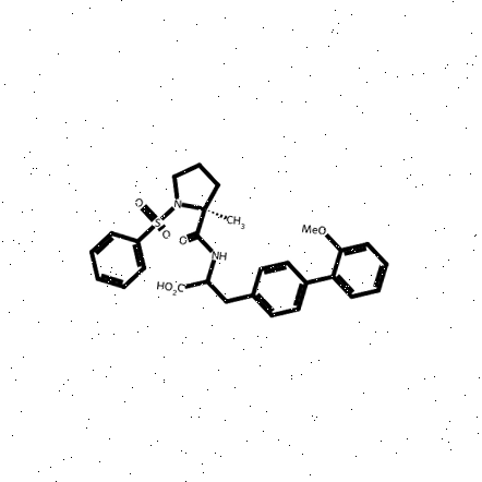 COc1ccccc1-c1ccc(CC(NC(=O)[C@]2(C)CCCN2S(=O)(=O)c2ccccc2)C(=O)O)cc1